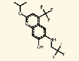 CC(C)Oc1cc(C(F)(F)F)c2cc(NCC(F)(F)F)c(O)cc2n1